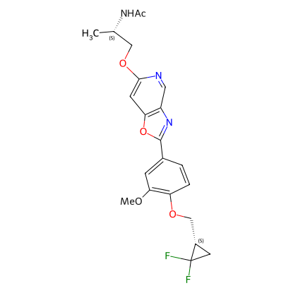 COc1cc(-c2nc3cnc(OC[C@H](C)NC(C)=O)cc3o2)ccc1OC[C@@H]1CC1(F)F